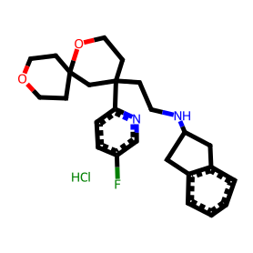 Cl.Fc1ccc(C2(CCNC3Cc4ccccc4C3)CCOC3(CCOCC3)C2)nc1